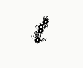 CC(=O)c1cccc(C2CC(=O)c3cc(S(=O)(=O)Nc4cccc(C(C)C)c4)ccc3N2)c1